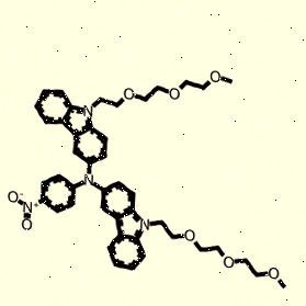 COCCOCCOCCn1c2ccccc2c2cc(N(c3ccc([N+](=O)[O-])cc3)c3ccc4c(c3)c3ccccc3n4CCOCCOCCOC)ccc21